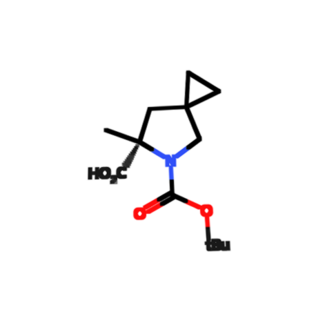 CC(C)(C)OC(=O)N1CC2(CC2)C[C@@]1(C)C(=O)O